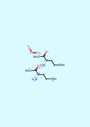 COC(=O)[C@@H](N)CCSC.COC(=O)[C@@H](N)CCSC.O=S=O